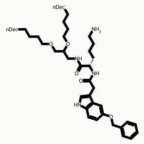 CCCCCCCCCCCCCCOCC(CNC(=O)[C@H](CCCCN)NC(=O)Cc1c[nH]c2ccc(OCc3ccccc3)cc12)OCCCCCCCCCCCCCC